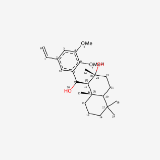 C=Cc1cc(OC)c(OC)c(C(O)[C@@H]2[C@@]3(C)CCCC(C)(C)C3CC[C@@]2(C)O)c1